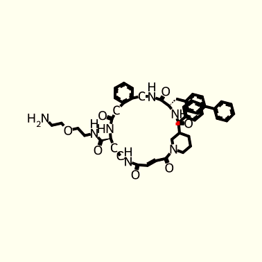 NCCOCCNC(=O)[C@@H]1CCNC(=O)/C=C/C(=O)N2CCC[C@](Cc3ccccc3)(C2)C(=O)N[C@@H](Cc2ccc(-c3ccccc3)cc2)C(=O)NCc2ccccc2CC(=O)N1